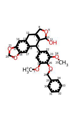 COc1cc(C2C3=C(COC3O)Cc3cc4c(cc32)OCO4)cc(OC)c1OCc1ccccc1